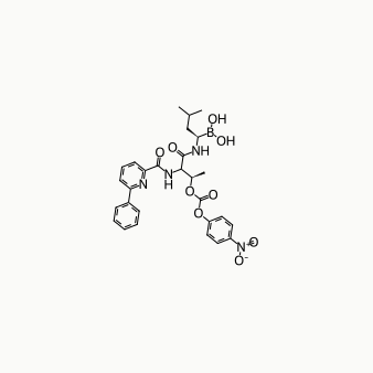 CC(C)C[C@H](NC(=O)C(NC(=O)c1cccc(-c2ccccc2)n1)[C@@H](C)OC(=O)Oc1ccc([N+](=O)[O-])cc1)B(O)O